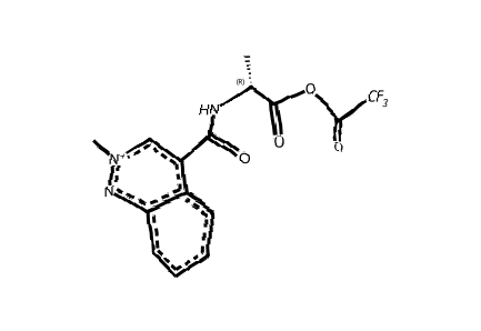 C[C@@H](NC(=O)c1c[n+](C)nc2ccccc12)C(=O)OC(=O)C(F)(F)F